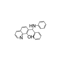 Oc1c(C(Nc2ccccc2)c2ccccc2)ccc2cccnc12